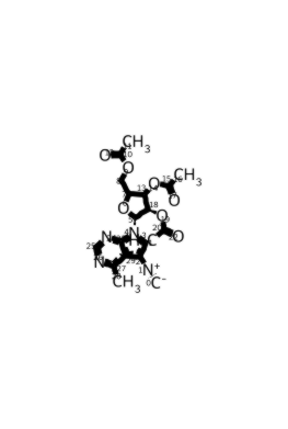 [C-]#[N+]c1cn([C@@H]2OC(COC(C)=O)C(OC(C)=O)[C@H]2OC(C)=O)c2ncnc(C)c12